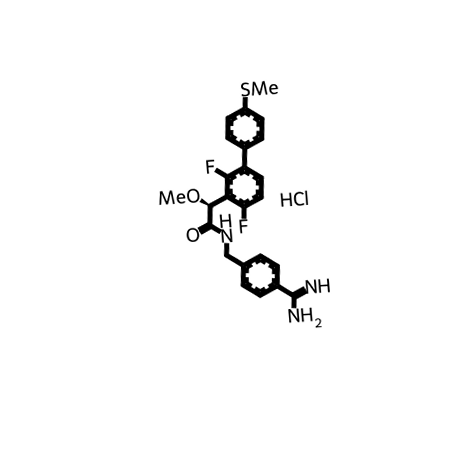 CO[C@H](C(=O)NCc1ccc(C(=N)N)cc1)c1c(F)ccc(-c2ccc(SC)cc2)c1F.Cl